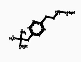 CCCCCCCNCCc1ccc(CC(C)(C)C(=O)OCC)cc1